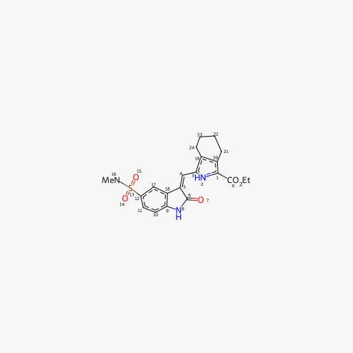 CCOC(=O)c1[nH]c(/C=C2\C(=O)Nc3ccc(S(=O)(=O)NC)cc32)c2c1CCCC2